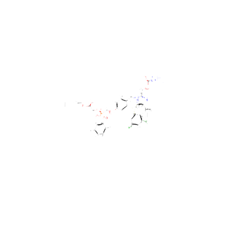 CCOC(=O)COP(=O)(COc1ccc(Cn2c(COC(N)=O)nc(C(C)C)c2Sc2cc(Cl)cc(Cl)c2)cc1)Oc1ccccc1